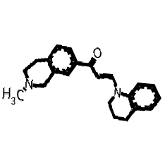 CN1CCc2ccc(C(=O)/C=C/N3CCCc4ccccc43)cc2C1